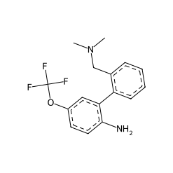 CN(C)Cc1ccccc1-c1cc(OC(F)(F)F)ccc1N